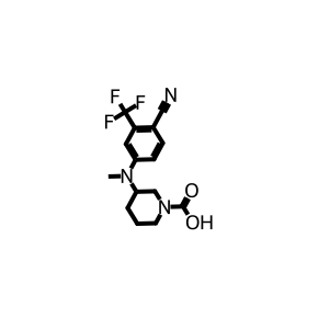 CN(c1ccc(C#N)c(C(F)(F)F)c1)C1CCCN(C(=O)O)C1